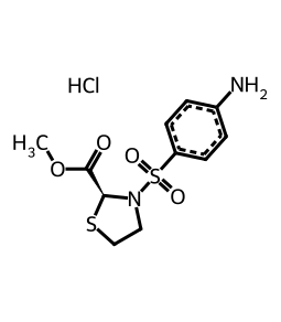 COC(=O)[C@@H]1SCCN1S(=O)(=O)c1ccc(N)cc1.Cl